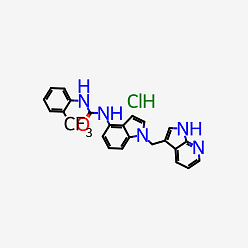 Cl.O=C(Nc1ccccc1C(F)(F)F)Nc1cccc2c1ccn2Cc1c[nH]c2ncccc12